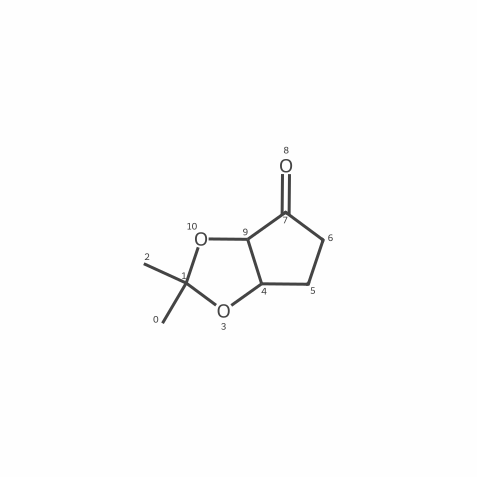 CC1(C)OC2CCC(=O)C2O1